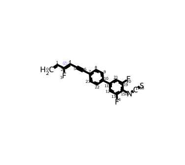 C=C/C(F)=C/C#Cc1ccc(-c2cc(F)c(N=C=S)c(F)c2)cc1